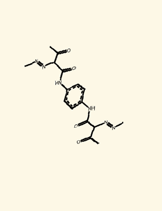 C/N=N/C(C(C)=O)C(=O)Nc1ccc(NC(=O)C(/N=N/C)C(C)=O)cc1